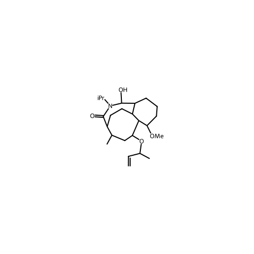 C=CC(C)OC1CC(C)C2CCC3C(CCCC(OC)C13)C(O)N(C(C)C)C2=O